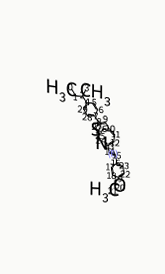 CCC(C)c1ccc(C2=CC3=CC=C(/C=C/c4ccc(OC)cc4)N=C(C3)S2)cc1